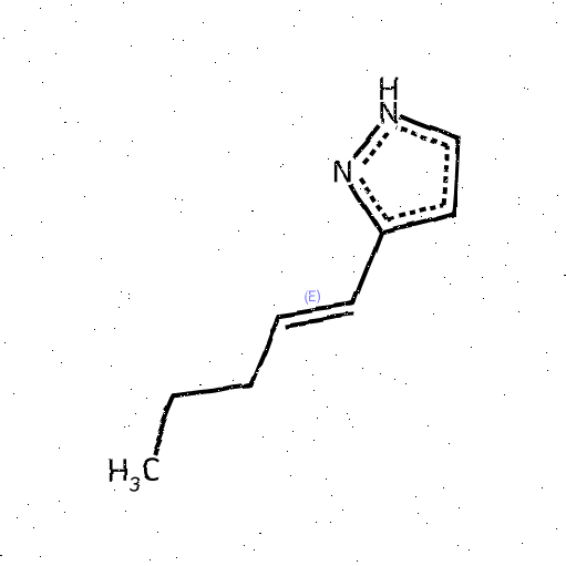 CCC/C=C/c1cc[nH]n1